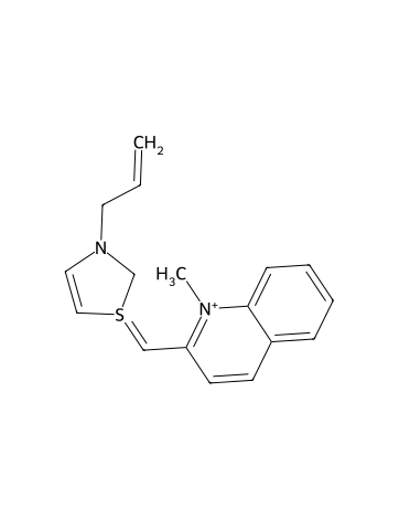 C=CCN1C=CS(=Cc2ccc3ccccc3[n+]2C)C1